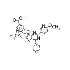 CCC1(N(C)Cc2cc3nc(-c4ccc(OC)nc4)nc(N4CCOCC4)c3s2)N=CC(C(=O)O)=CN1